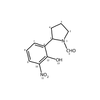 O=CN1CCCC1c1cccc([N+](=O)[O-])c1O